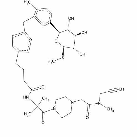 C#CCN(C)C(=O)CN1CCN(C(=O)C(C)(C)NC(=O)CCCc2ccc(Cc3cc([C@@H]4O[C@H](SC)[C@@H](O)[C@H](O)[C@H]4O)ccc3C)cc2)CC1